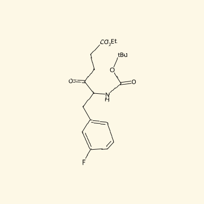 CCOC(=O)CCC(=O)C(Cc1cccc(F)c1)NC(=O)OC(C)(C)C